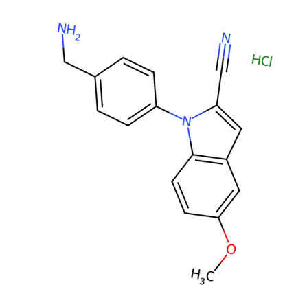 COc1ccc2c(c1)cc(C#N)n2-c1ccc(CN)cc1.Cl